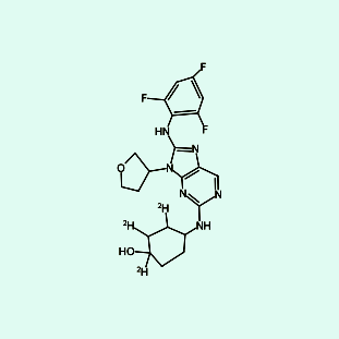 [2H]C1C(Nc2ncc3nc(Nc4c(F)cc(F)cc4F)n(C4CCOC4)c3n2)CCC([2H])(O)C1[2H]